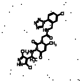 Cc1n[nH]c(Cl)c1C(C)Nn1c(=O)cc(C)n(CC(=O)NCc2cc(Cl)ccc2-n2cnnn2)c1=O